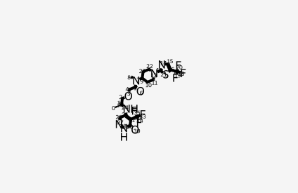 C[C@@H](COCC(=O)N(C)C1CCN(c2ncc(C(F)(F)F)s2)CC1)Nc1cn[nH]c(=O)c1C(F)(F)F